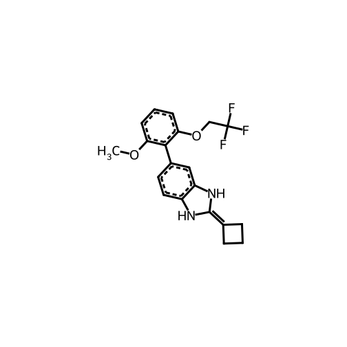 COc1cccc(OCC(F)(F)F)c1-c1ccc2c(c1)NC(=C1CCC1)N2